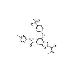 CN(C)C(=O)c1cc2c(Oc3ccc(S(C)(=O)=O)cc3)cc(C(=O)Nc3ccn(C)n3)cc2o1